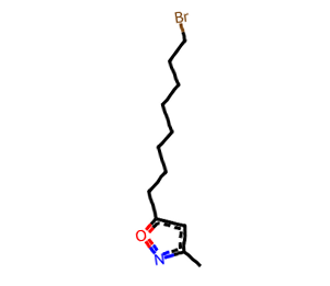 Cc1cc(CCCCCCCCBr)on1